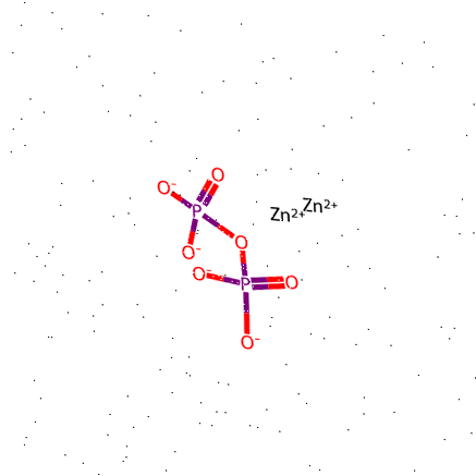 O=P([O-])([O-])OP(=O)([O-])[O-].[Zn+2].[Zn+2]